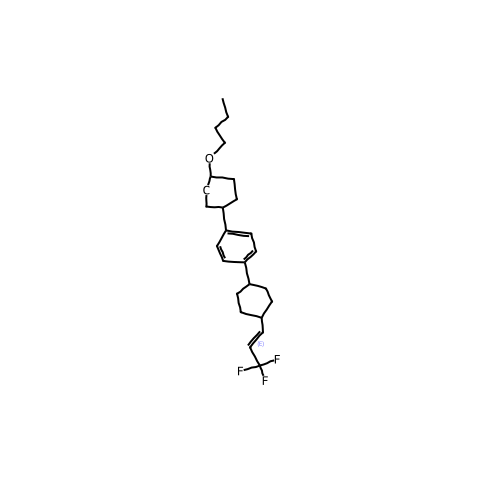 CCCCOC1CCC(c2ccc(C3CCC(/C=C/C(F)(F)F)CC3)cc2)CC1